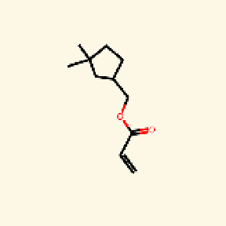 C=CC(=O)OCC1CCC(C)(C)C1